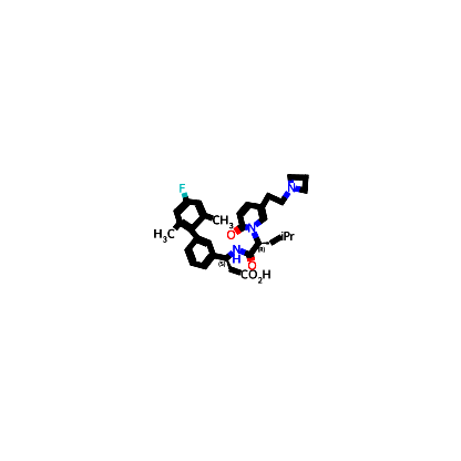 Cc1cc(F)cc(C)c1-c1cccc([C@H](CC(=O)O)NC(=O)[C@@H](CC(C)C)n2cc(CCN3CCC3)ccc2=O)c1